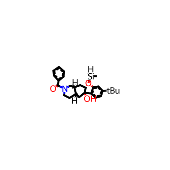 C[SiH](C)Oc1cc(C(C)(C)C)ccc1C1(O)CC[C@@H]2CN(C(=O)c3ccccc3)CC[C@H]2C1